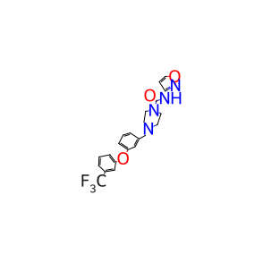 O=C(Nc1ccon1)N1CCN(Cc2cccc(Oc3cccc(C(F)(F)F)c3)c2)CC1